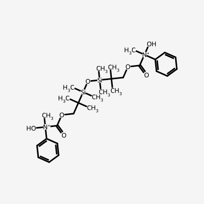 CC(C)(COC(=O)[N+](C)(O)c1ccccc1)[Si](C)(C)O[Si](C)(C)C(C)(C)COC(=O)[N+](C)(O)c1ccccc1